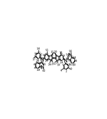 Cc1cc(C)cc(N(c2cc(C)c3c(c2)C(C)(C)c2c-3ccc3c2C(C)(C)c2cc(N(c4cc(C)cc(C)c4)c4cn(C)c5ccccc45)cc(C)c2-3)c2cn(C)c3ccccc23)c1